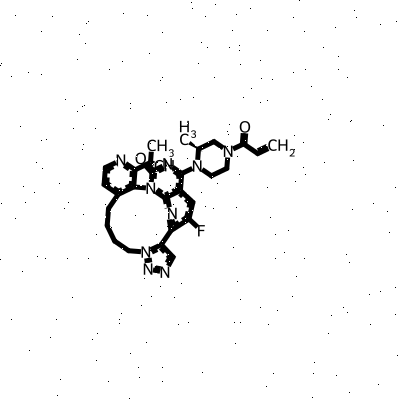 C=CC(=O)N1CCN(c2nc(=O)n3c4nc(c(F)cc24)-c2cnnn2CCCCc2ccnc(C(C)C)c2-3)[C@@H](C)C1